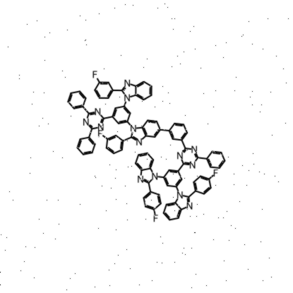 Fc1ccc(-c2nc3ccccc3n2-c2cc(-c3nc(-c4ccccc4)nc(-c4cccc(-c5ccc6c(c5)nc(-c5cccc(F)c5)n6-c5cc(-c6nc(-c7ccccc7)nc(-c7ccccc7)n6)cc(-n6c(-c7cccc(F)c7)nc7ccccc76)c5)c4)n3)cc(-n3c(-c4ccc(F)cc4)nc4ccccc43)c2)cc1